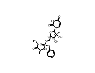 CC(C)OC(=O)C(C)NP(=S)(OC[C@@]1(F)OC(n2ccc(=O)[nH]c2=O)[C@](C)(O)[C@@H]1O)Oc1ccccc1